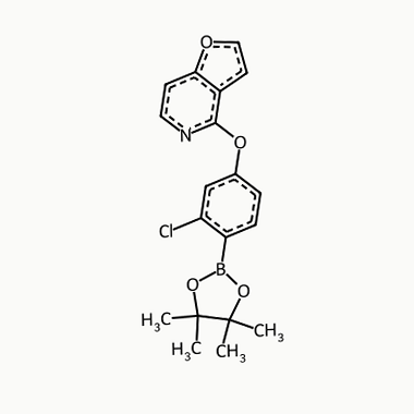 CC1(C)OB(c2ccc(Oc3nccc4occc34)cc2Cl)OC1(C)C